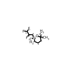 CC1(C)CCC[Si](C)(CC(F)C(F)F)O1